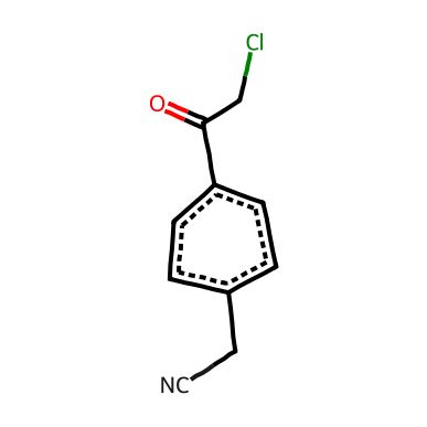 N#CCc1ccc(C(=O)CCl)cc1